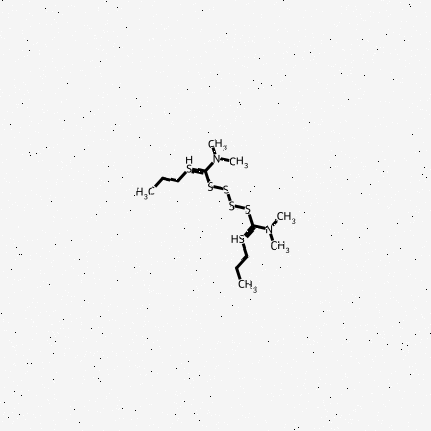 CCC[SH]=C(SSSSC(=[SH]CCC)N(C)C)N(C)C